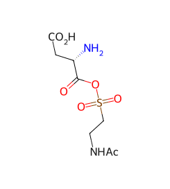 CC(=O)NCCS(=O)(=O)OC(=O)[C@@H](N)CC(=O)O